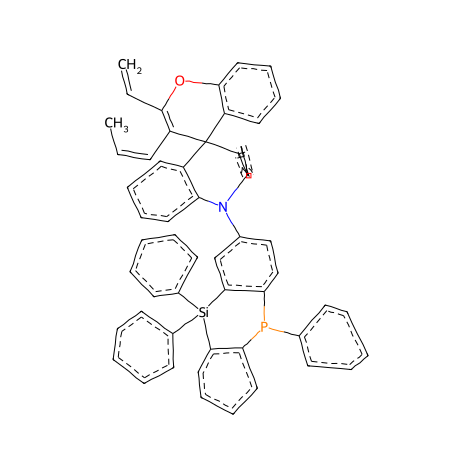 C=CC1=C(/C=C\C)C2(c3ccccc3O1)c1ccccc1N(c1ccc3c(c1)[Si](c1ccccc1)(c1ccccc1)c1ccccc1P3c1ccccc1)c1ccccc12